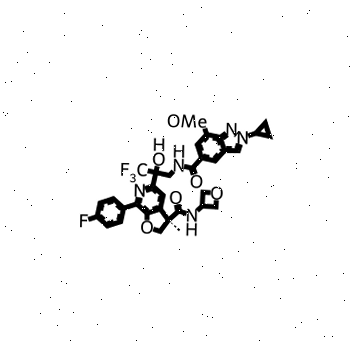 COc1cc(C(=O)NCC(O)(c2cc3c(c(-c4ccc(F)cc4)n2)OC[C@]3(C)C(=O)NC2COC2)C(F)(F)F)cc2cn(C3CC3)nc12